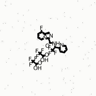 O=C(NC(c1ccccn1)C(F)(F)F)c1ncc2c(F)cccn12.O=C(O)C(F)(F)F.O=C(O)C(F)(F)F